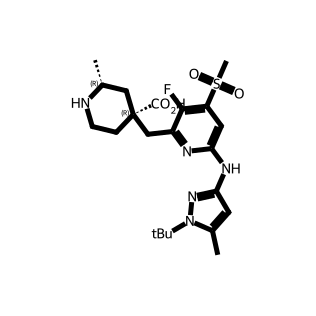 Cc1cc(Nc2cc(S(C)(=O)=O)c(F)c(C[C@@]3(C(=O)O)CCN[C@H](C)C3)n2)nn1C(C)(C)C